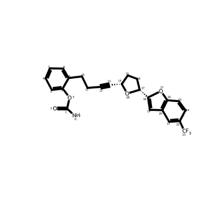 [NH]C(=O)Oc1ccccc1CCC#C[C@@H]1CC[C@H](c2cc3cc(C(F)(F)F)ccc3o2)O1